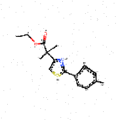 CCOC(=O)C(C)(C)c1csc(-c2ccc(C)cc2)n1